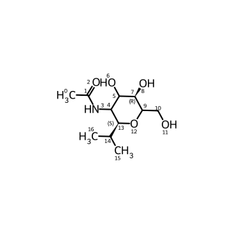 CC(=O)NC1C(O)[C@@H](O)C(CO)O[C@H]1C(C)C